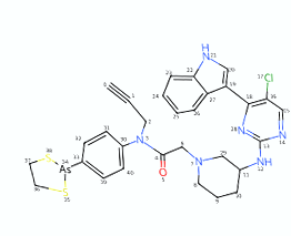 C#CCN(C(=O)CN1CCCC(Nc2ncc(Cl)c(-c3c[nH]c4ccccc34)n2)C1)c1ccc([As]2SCCS2)cc1